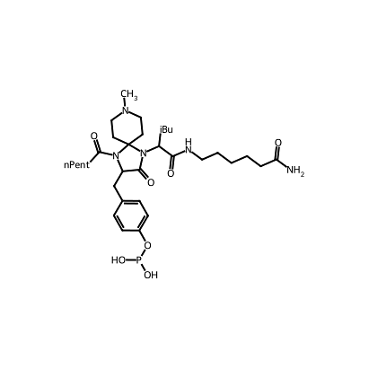 CCCCCC(=O)N1C(Cc2ccc(OP(O)O)cc2)C(=O)N(C(C(=O)NCCCCCC(N)=O)C(C)CC)C12CCN(C)CC2